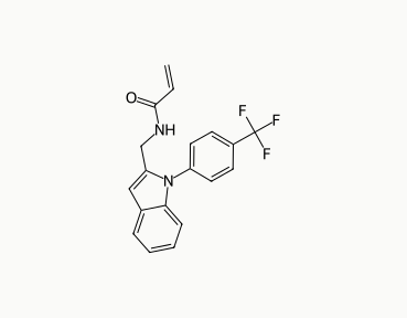 C=CC(=O)NCc1cc2ccccc2n1-c1ccc(C(F)(F)F)cc1